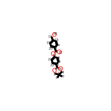 CC1(C)COC(c2ccc(OC(=O)c3ccc(C=O)cc3)cc2)OC1